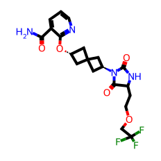 NC(=O)c1cccnc1O[C@H]1CC2(C1)C[C@H](N1C(=O)NC(CCOCC(F)(F)F)C1=O)C2